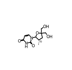 C[C@H]1CC(CO)(CO)OC1n1ccc(=O)[nH]c1=O